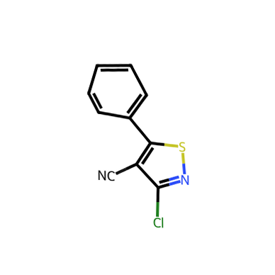 N#Cc1c(Cl)nsc1-c1ccccc1